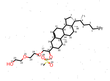 CC(C)CCC[C@@H](C)[C@H]1CCC2C3CC=C4CC(C(COCCOCCO)OS(C)(=O)=O)CC[C@]4(C)C3CC[C@@]21C